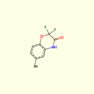 CC(C)c1ccc2c(c1)NC(=O)C(F)(F)O2